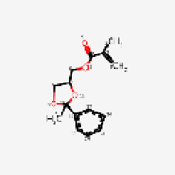 C=C(C)C(=O)OCC1COC(C)(c2ccccc2)O1